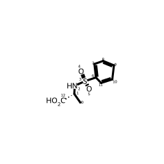 C[C@@H](NS(=O)(=O)c1ccccc1)C(=O)O